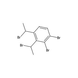 CC(Br)c1ccc(Br)c(Br)c1C(C)Br